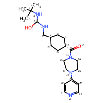 CC(C)(C)NC(O)NC[C@H]1CC[C@H](C(=O)N2CCN(c3ccncc3)CC2)CC1